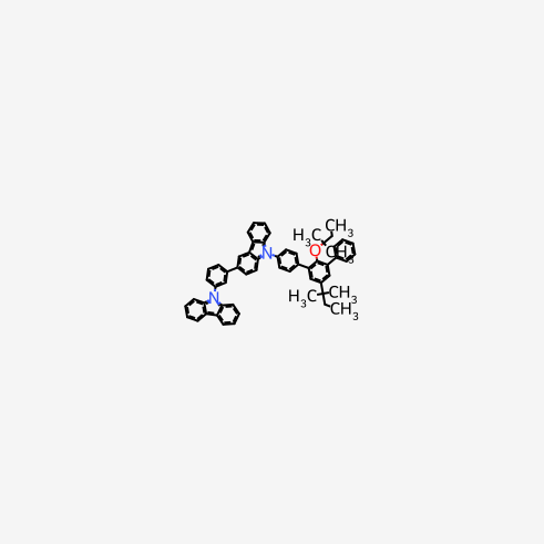 CCC(C)(C)Oc1c(-c2ccccc2)cc(C(C)(C)CC)cc1-c1ccc(-n2c3ccccc3c3cc(-c4cccc(-n5c6ccccc6c6ccccc65)c4)ccc32)cc1